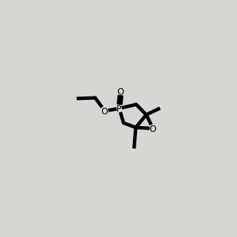 CCOP1(=O)CC2(C)OC2(C)C1